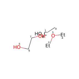 CC(=O)O.CCOCC.OCCO